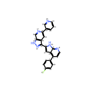 Fc1ccc(-c2ccnc3[nH]c(-c4n[nH]c5cnc(-c6cccnc6)cc45)cc23)cc1